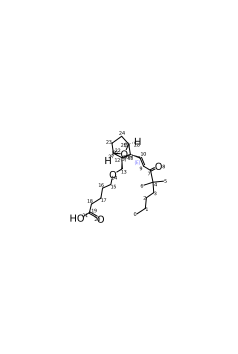 CCCCC(C)(C)C(=O)/C=C/[C@H]1[C@@H](COCCCCC(=O)O)[C@H]2CC[C@@H]1O2